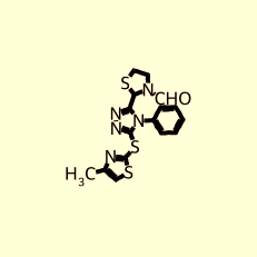 Cc1csc(Sc2nnc(C3SCCN3C=O)n2-c2ccccc2)n1